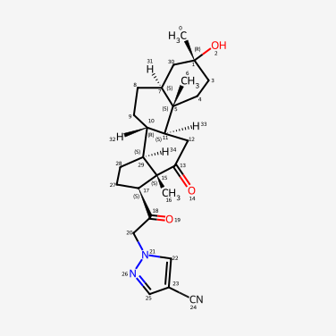 C[C@@]1(O)CC[C@@]2(C)[C@@H](CC[C@@H]3[C@@H]2CC(=O)[C@]2(C)[C@@H](C(=O)Cn4cc(C#N)cn4)CC[C@@H]32)C1